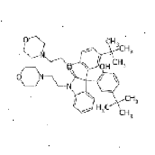 CC(C)(C)c1ccc(O)c(C2(c3cc(C(C)(C)C)ccc3OCCN3CCOCC3)C(=O)N(CCN3CCOCC3)c3ccccc32)c1